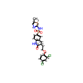 Cc1cnc(NS(=O)(=O)c2ccc3c(c2)CC(CCOc2ccc(Cl)cc2Cl)C(=O)N3)s1